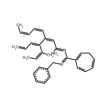 C=C/C=C(C(\C)=C/C)/C(/C=C\C=C/C)=C\C(N)=N\C(=N/Cc1ccccc1)C1=CCC=CC=C1